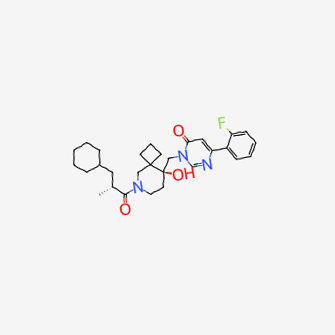 C[C@H](CC1CCCCC1)C(=O)N1CC[C@@](O)(Cn2cnc(-c3ccccc3F)cc2=O)C2(CCC2)C1